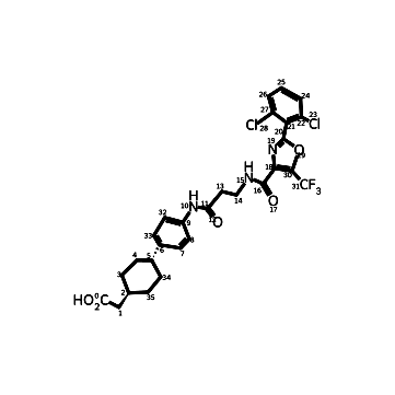 O=C(O)C[C@H]1CC[C@H](c2ccc(NC(=O)CCNC(=O)c3nc(-c4c(Cl)cccc4Cl)oc3C(F)(F)F)cc2)CC1